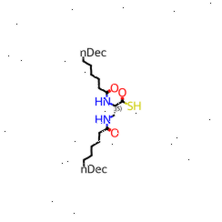 CCCCCCCCCCCCCCCC(=O)NC[C@H](NC(=O)CCCCCCCCCCCCCCC)C(=O)S